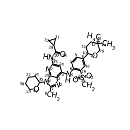 Cc1nc2c(Nc3ccc(C4CCC(C)(C)CO4)cc3S(C)(=O)=O)cc(NC(=O)C3CC3)nc2n1C1CCCCO1